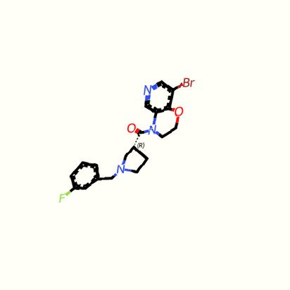 O=C([C@@H]1CCN(Cc2cccc(F)c2)C1)N1CCOc2c(Br)cncc21